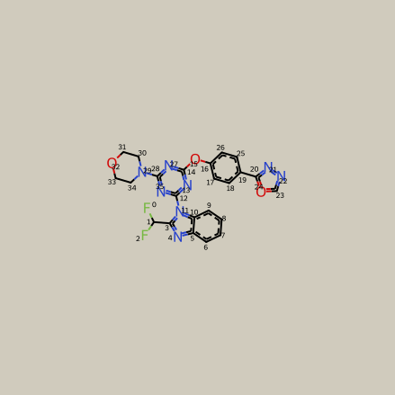 FC(F)c1nc2ccccc2n1-c1nc(Oc2ccc(-c3nnco3)cc2)nc(N2CCOCC2)n1